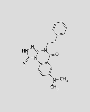 CN(C)c1ccc2c(c1)c(=O)n(CCc1ccccc1)c1n[nH]c(=S)n21